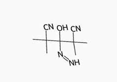 CC(C)(C#N)C(O)(N=N)C(C)(C)C#N